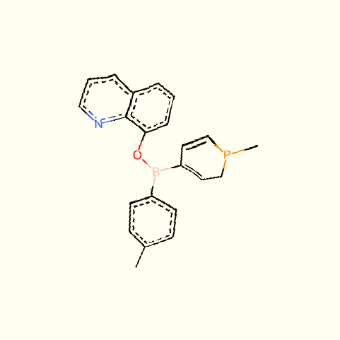 Cc1ccc(B(Oc2cccc3cccnc23)C2=CCP(C)C=C2)cc1